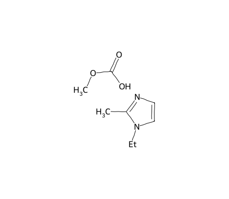 CCn1ccnc1C.COC(=O)O